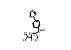 O=C(N[C@H](CF)[C@H](O)c1ccc(-n2ccnc2)cc1)C(Cl)Cl